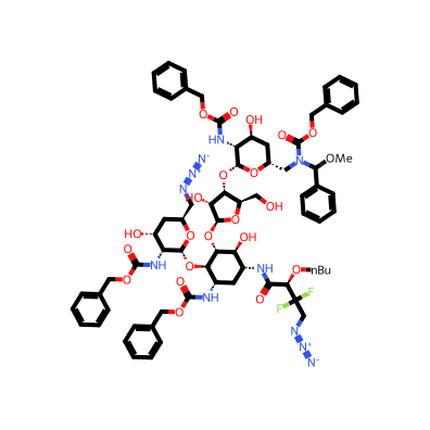 CCCCO[C@H](C(=O)N[C@@H]1C[C@H](NC(=O)OCc2ccccc2)[C@@H](O[C@H]2O[C@H](CN=[N+]=[N-])C[C@@H](O)[C@H]2NC(=O)OCc2ccccc2)[C@H](O[C@@H]2O[C@H](CO)[C@@H](O[C@H]3O[C@@H](CN(C(=O)OCc4ccccc4)C(OC)c4ccccc4)C[C@H](O)[C@H]3NC(=O)OCc3ccccc3)[C@H]2O)[C@H]1O)C(F)(F)CN=[N+]=[N-]